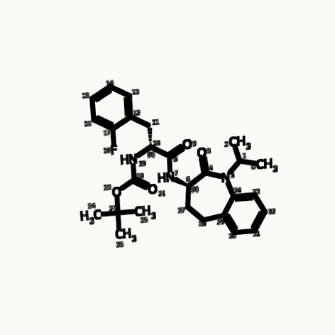 CC(C)N1C(=O)[C@H](NC(=O)[C@@H](Cc2ccccc2F)NC(=O)OC(C)(C)C)CCc2ccccc21